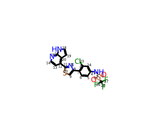 O=S(=O)(Nc1ccc(-c2csc(-c3ccnc4[nH]ccc34)n2)c(Cl)c1)C(F)(F)F